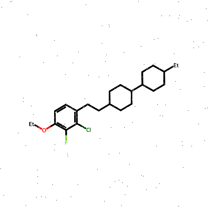 CCOc1ccc(CCC2CCC(C3CCC(CC)CC3)CC2)c(Cl)c1F